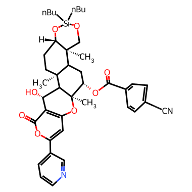 CCCC[Si]1(CCCC)OC[C@@]2(C)C3C[C@H](OC(=O)c4ccc(C#N)cc4)[C@@]4(C)Oc5cc(-c6cccnc6)oc(=O)c5[C@H](O)C4[C@@]3(C)CC[C@@H]2O1